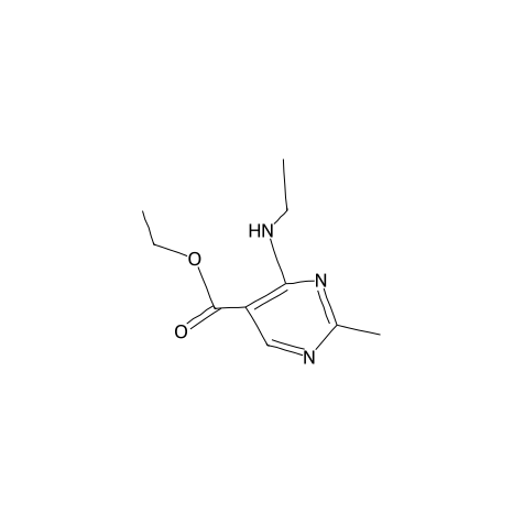 CCNc1nc(C)ncc1C(=O)OCC